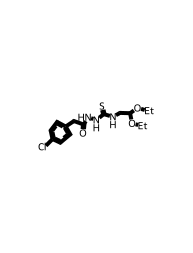 CCOC(CNC(=S)NNC(=O)Cc1ccc(Cl)cc1)OCC